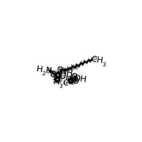 CCCCCCCCCCCCCCCCNC(=O)c1cc(OCCN)c2ccccc2c1O.Cc1ccc(S(=O)(=O)O)cc1